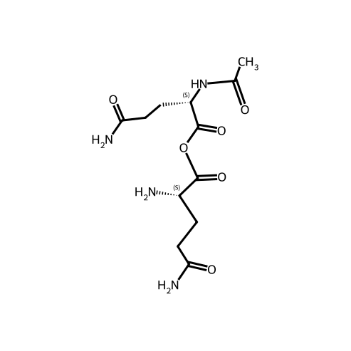 CC(=O)N[C@@H](CCC(N)=O)C(=O)OC(=O)[C@@H](N)CCC(N)=O